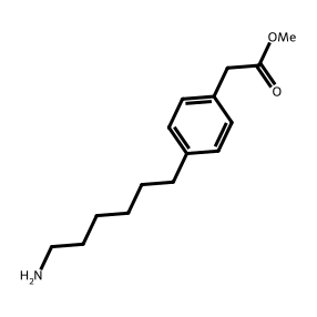 COC(=O)Cc1ccc(CCCCCCN)cc1